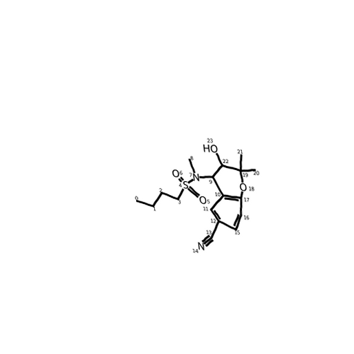 CCCCS(=O)(=O)N(C)C1c2cc(C#N)ccc2OC(C)(C)C1O